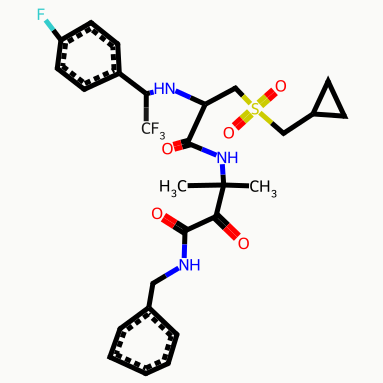 CC(C)(NC(=O)C(CS(=O)(=O)CC1CC1)NC(c1ccc(F)cc1)C(F)(F)F)C(=O)C(=O)NCc1ccccc1